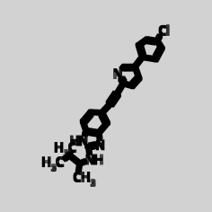 CC(C)C(C)Nc1nc2cc(C#Cc3ccc(-c4ccc(Cl)cc4)cn3)ccc2[nH]1